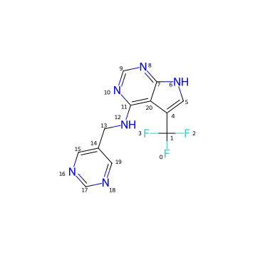 FC(F)(F)c1c[nH]c2ncnc(NCc3cncnc3)c12